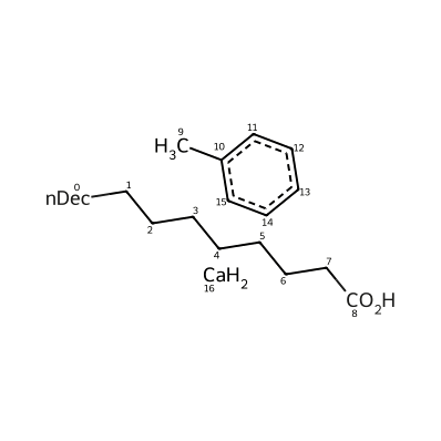 CCCCCCCCCCCCCCCCCC(=O)O.Cc1ccccc1.[CaH2]